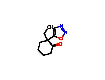 CCC1(c2cnno2)CCCCC1=O